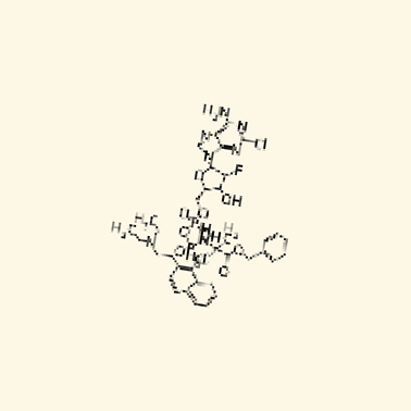 CCN(CC)CCc1ccc2ccccc2c1OP(=O)(NC(C)(C)C(=O)OCc1ccccc1)OP(=O)(O)OC[C@H]1O[C@@H](n2cnc3c(N)nc(Cl)nc32)C(F)[C@H]1O